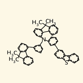 CC1(C)c2ccccc2-c2c(-c3cccc(N(c4cccc(-c5ccc6sc7ccccc7c6c5)c4)c4cccc5c4-c4ccccc4C5(C)C)c3)cccc21